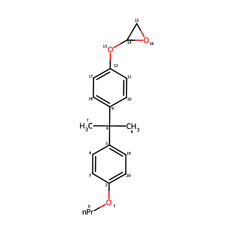 CCCOc1ccc(C(C)(C)c2ccc(OC3CO3)cc2)cc1